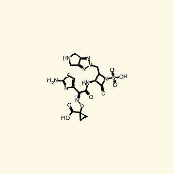 Nc1nc(/C(=N/OC2(C(=O)O)CC2)C(=O)NC2C(=O)N(S(=O)(=O)O)C2Cn2nc3c(n2)CNC3)cs1